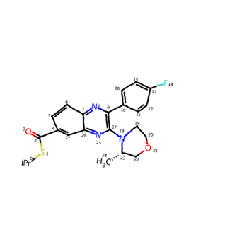 CC(C)SC(=O)c1ccc2nc(-c3ccc(F)cc3)c(N3CCOC[C@@H]3C)nc2c1